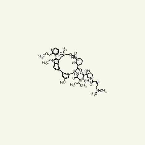 CCn1c(-c2cccnc2COC)c2c3cc(ccc31)-c1cc(O)cc(c1)C[C@H](NC(=O)[C@H](C(C)C)N(C)C(=O)C1(O)CCN(C(=O)/C=C\CN(C)C)C1)C(=O)N1CCC[C@@](O)(N1)C(=O)OCC(C)(C)C2